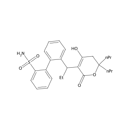 CCCC1(CCC)CC(O)=C(C(CC)c2ccccc2-c2ccccc2S(N)(=O)=O)C(=O)O1